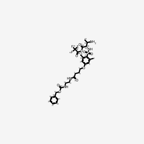 Cc1cc(OCCCC(=O)NCCNC(=O)OCc2ccccc2)cc(C)c1S(=O)(=O)N[C@H](C(=O)OC(=O)C(F)(F)F)C(C)N